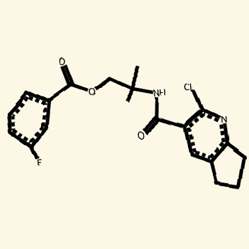 CC(C)(COC(=O)c1cccc(F)c1)NC(=O)c1cc2c(nc1Cl)CCC2